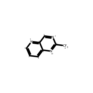 FC(F)(F)c1ncc2ncccc2n1